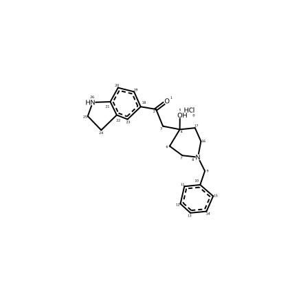 Cl.O=C(CC1(O)CCN(Cc2ccccc2)CC1)c1ccc2c(c1)CCN2